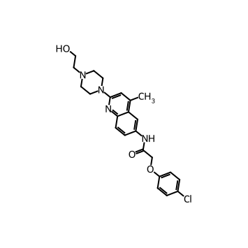 Cc1cc(N2CCN(CCO)CC2)nc2ccc(NC(=O)COc3ccc(Cl)cc3)cc12